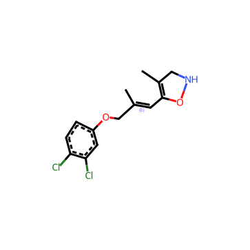 CC1=C(/C=C(\C)COc2ccc(Cl)c(Cl)c2)ONC1